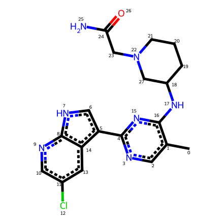 Cc1cnc(-c2c[nH]c3ncc(Cl)cc23)nc1NC1CCCN(CC(N)=O)C1